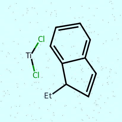 CC[C]1C=Cc2ccccc21.[Cl][Ti][Cl]